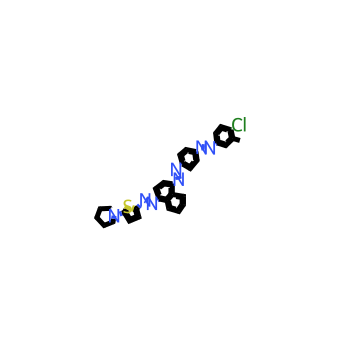 Cc1cc(N=Nc2ccc(N=Nc3ccc(N=Nc4ccc(N5CCCCC5)s4)c4ccccc34)cc2)ccc1Cl